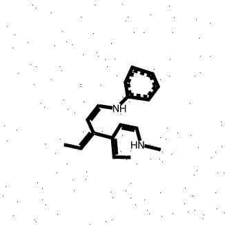 C/C=C(\C=C/NC)C(/C=C\Nc1ccccc1)=C/C